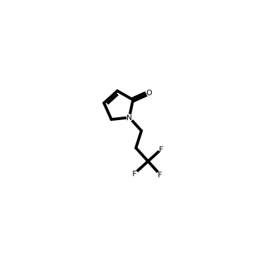 O=C1C=CCN1CCC(F)(F)F